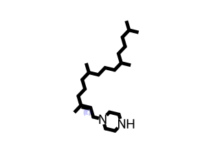 C/C(=C\CN1CCNCC1)CCCC(C)CCCC(C)CCCC(C)C